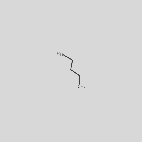 [80Li][CH2]CCC